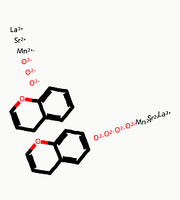 C1=COc2ccccc2C1.C1=COc2ccccc2C1.[La+3].[La+3].[Mn+2].[Mn+2].[O-2].[O-2].[O-2].[O-2].[O-2].[O-2].[O-2].[Sr+2].[Sr+2]